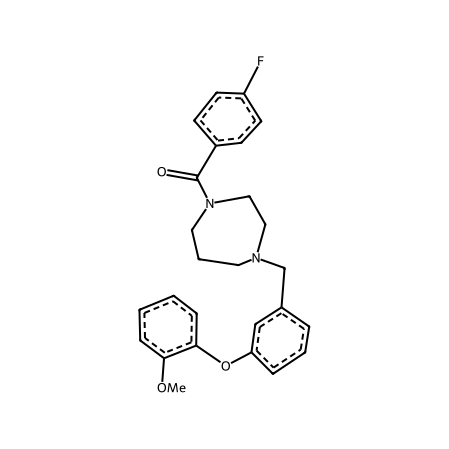 COc1ccccc1Oc1cccc(CN2CCCN(C(=O)c3ccc(F)cc3)CC2)c1